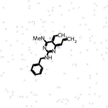 C=C/C=c1/nc(NCc2ccccc2)nc(NC)/c1=C/C